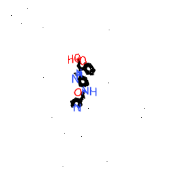 O=C(O)CC(c1ccccc1)n1cnc2cc(NC(=O)Cc3cccnc3)ccc21